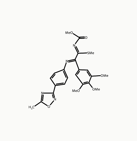 COC(=O)N=C(SC)C(=Nc1ccc(-c2noc(C)n2)cc1)c1cc(OC)c(OC)c(OC)c1